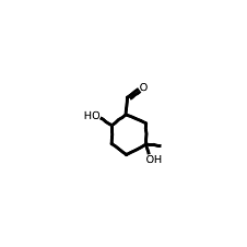 CC1(O)CCC(O)C(C=O)C1